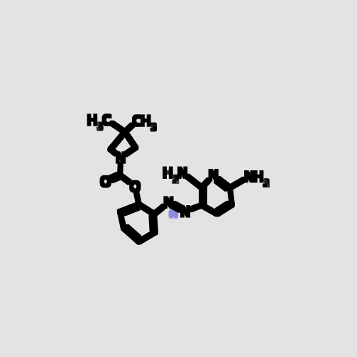 CC1(C)CN(C(=O)Oc2ccccc2/N=N/c2ccc(N)nc2N)C1